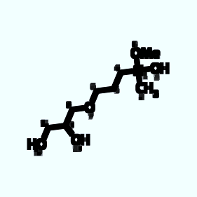 CO[Si](C)(O)CCCOCC(O)CO